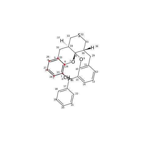 Cc1cccc2c1O[C@]13Oc4c(cccc4P(c4ccccc4)c4ccccc4)C[C@H]1CSC[C@@H]3C2